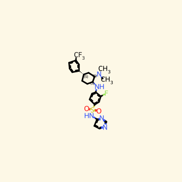 CN(C)[C@H]1C[C@@H](c2cccc(C(F)(F)F)c2)CC[C@@H]1Nc1ccc(S(=O)(=O)Nc2ccncn2)cc1F